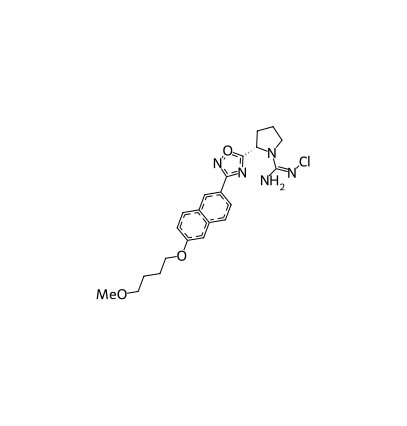 COCCCCOc1ccc2cc(-c3noc([C@@H]4CCCN4/C(N)=N\Cl)n3)ccc2c1